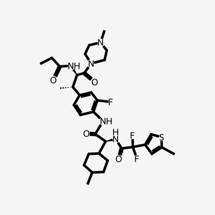 CCC(=O)N[C@@H](C(=O)N1CCN(C)CC1)[C@@H](C)c1ccc(NC(=O)[C@@H](NC(=O)C(F)(F)c2csc(C)c2)C2CCC(C)CC2)c(F)c1